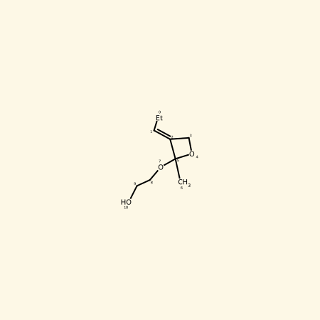 CCC=C1COC1(C)OCCO